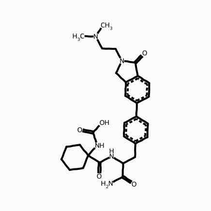 CN(C)CCN1Cc2cc(-c3ccc(CC(NC(=O)C4(NC(=O)O)CCCCC4)C(N)=O)cc3)ccc2C1=O